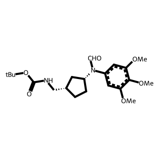 COc1cc(N(C=O)[C@@H]2CC[C@H](CNC(=O)OC(C)(C)C)C2)cc(OC)c1OC